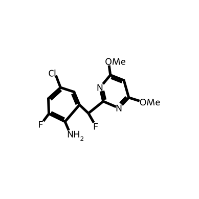 COc1cc(OC)nc(C(F)c2cc(Cl)cc(F)c2N)n1